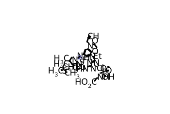 C#CCN1C(=O)COc2cc(F)c(/N=c3\snc4n3CC(C)(C)C4)cc21.CCNc1nc(Cl)nc(NC(C)(C)C)n1.C[S+](C)C.O=C(O)CNCP(=O)([O-])O